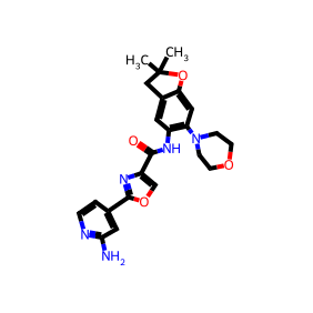 CC1(C)Cc2cc(NC(=O)c3coc(-c4ccnc(N)c4)n3)c(N3CCOCC3)cc2O1